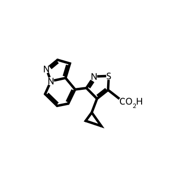 O=C(O)c1snc(-c2cccn3nccc23)c1C1CC1